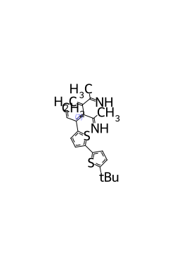 C=C/C(=C(\C(=C)C(C)=N)C(C)=N)c1ccc(-c2ccc(C(C)(C)C)s2)s1